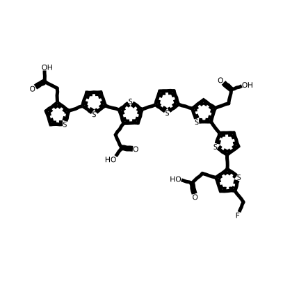 O=C(O)Cc1ccsc1-c1ccc(-c2sc(-c3ccc(-c4cc(CC(=O)O)c(-c5ccc(-c6sc(CF)cc6CC(=O)O)s5)s4)s3)cc2CC(=O)O)s1